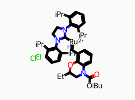 CCC1CN(C(=O)OCC(C)C)c2cccc(/[CH]=[Ru+2]/[CH]3N(c4c(C(C)C)cccc4C(C)C)CCN3c3c(C(C)C)cccc3C(C)C)c2O1.[Cl-].[Cl-]